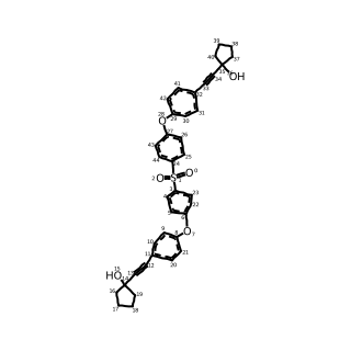 O=S(=O)(c1ccc(Oc2ccc(C#CC3(O)CCCC3)cc2)cc1)c1ccc(Oc2ccc(C#CC3(O)CCCC3)cc2)cc1